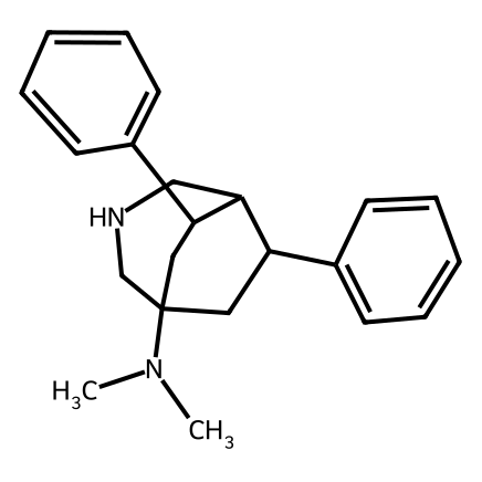 CN(C)C12CNCC(C(c3ccccc3)C1)C(c1ccccc1)C2